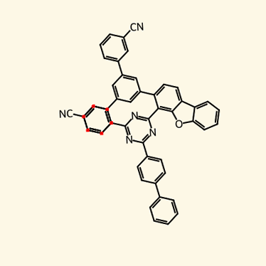 N#Cc1cccc(-c2cc(-c3cccc(C#N)c3)cc(-c3ccc4c(oc5ccccc54)c3-c3nc(-c4ccccc4)nc(-c4ccc(-c5ccccc5)cc4)n3)c2)c1